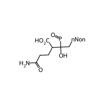 CCCCCCCCCCC(O)(P=O)C(CCC(N)=O)C(=O)O